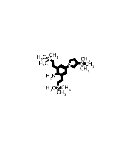 C[N+](C)(C)C1CCN(c2cc(CC[Si](C)(C)C)c(N)c(CC[Si](C)(C)C)c2)C1